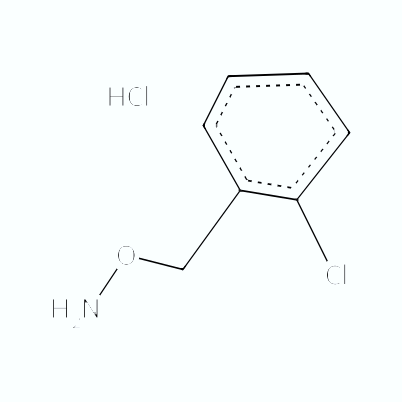 Cl.NOCc1ccccc1Cl